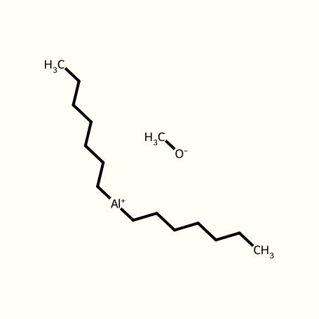 CCCCCC[CH2][Al+][CH2]CCCCCC.C[O-]